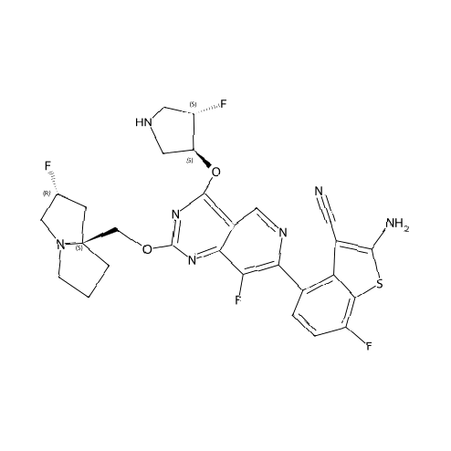 N#Cc1c(N)sc2c(F)ccc(-c3ncc4c(O[C@H]5CNC[C@@H]5F)nc(OC[C@@]56CCCN5C[C@H](F)C6)nc4c3F)c12